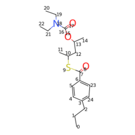 CCCc1ccc(C(=O)SC(C)CC(C)OC(=O)N(CC)CC)cc1